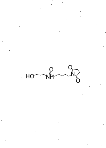 O=C(CCCCCN1C(=O)CCC1=O)NCCCO